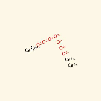 [Ce+3].[Ce+3].[Ce+4].[Ce+4].[O-2].[O-2].[O-2].[O-2].[O-2].[O-2].[O-2]